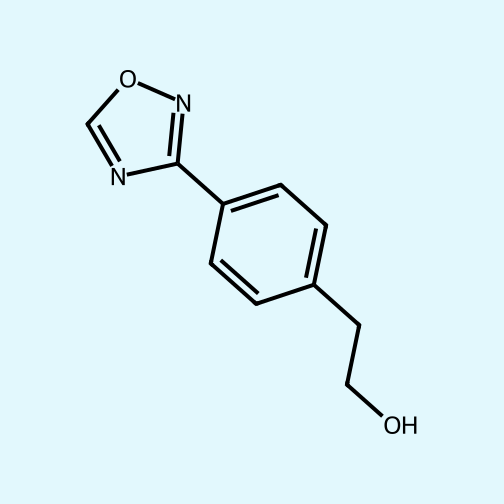 OCCc1ccc(-c2ncon2)cc1